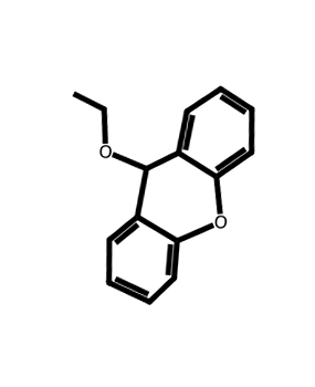 CCOC1c2ccccc2Oc2ccccc21